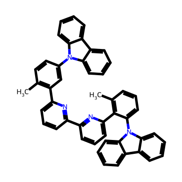 Cc1ccc(-n2c3ccccc3c3ccccc32)cc1-c1cccc(-c2cccc(-c3c(C)cccc3-n3c4ccccc4c4ccccc43)n2)n1